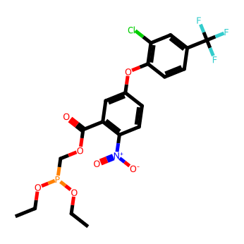 CCOP(COC(=O)c1cc(Oc2ccc(C(F)(F)F)cc2Cl)ccc1[N+](=O)[O-])OCC